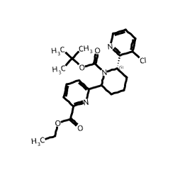 CCOC(=O)c1cccc(C2CCC[C@@H](c3ncccc3Cl)N2C(=O)OC(C)(C)C)n1